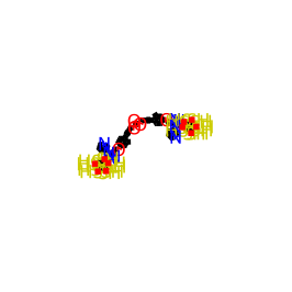 Cc1cc(OCc2nnc(SC3(S)C(S)(S)C(S)(S)C(S)(S)C3(S)S)n2-c2cccnc2)ccc1C#CCOC(=O)OCC#Cc1ccc(OCc2nnc(SC3(S)C(S)(S)C(S)(S)C(S)(S)C3(S)S)n2-c2cccnc2)cc1C